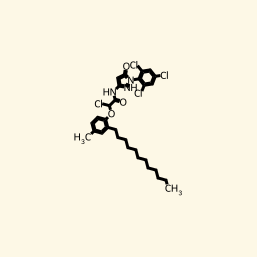 CCCCCCCCCCCCc1cc(C)ccc1OC(Cl)C(=O)Nc1cc(=O)n(-c2c(Cl)cc(Cl)cc2Cl)[nH]1